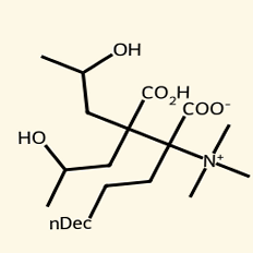 CCCCCCCCCCCCC(C(=O)[O-])(C(CC(C)O)(CC(C)O)C(=O)O)[N+](C)(C)C